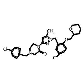 Cc1cc(N2CCN(Cc3ccc(Cl)cc3)CC2=O)nn1Cc1cc(Cl)ccc1OCC1CCCCO1